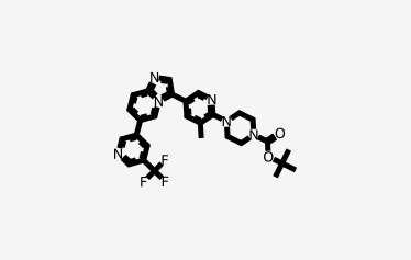 Cc1cc(-c2cnc3ccc(-c4cncc(C(F)(F)F)c4)cn23)cnc1N1CCN(C(=O)OC(C)(C)C)CC1